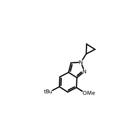 COc1cc(C(C)(C)C)cc2cn(C3CC3)nc12